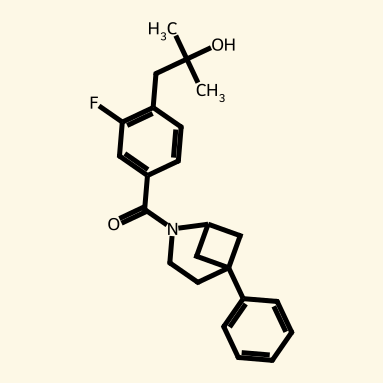 CC(C)(O)Cc1ccc(C(=O)N2CCC3(c4ccccc4)CC2C3)cc1F